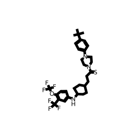 CC(C)(C)c1ccc(N2CCN(C(=S)CCC3CCC(Nc4ccc(OC(F)(F)F)c(C(F)(F)F)c4)CC3)CC2)cc1